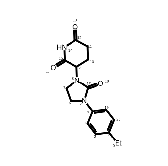 CCc1ccc(N2CCN(C3CCC(=O)NC3=O)C2=O)cc1